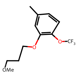 COCCCOc1cc(C)ccc1OC(F)(F)F